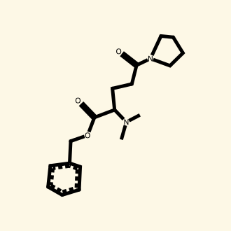 CN(C)C(CCC(=O)N1CCCC1)C(=O)OCc1ccccc1